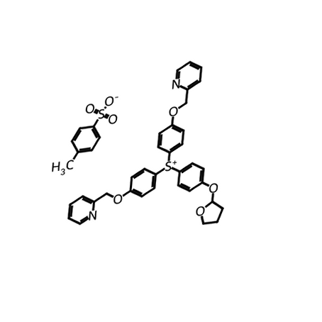 Cc1ccc(S(=O)(=O)[O-])cc1.c1ccc(COc2ccc([S+](c3ccc(OCc4ccccn4)cc3)c3ccc(OC4CCCO4)cc3)cc2)nc1